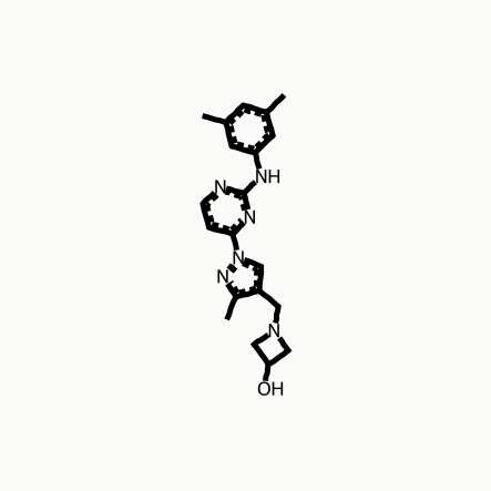 Cc1cc(C)cc(Nc2nccc(-n3cc(CN4CC(O)C4)c(C)n3)n2)c1